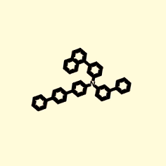 c1ccc(-c2ccc(-c3ccc(N(c4cccc(-c5ccccc5)c4)c4cccc(-c5cccc6ccccc56)c4)cc3)cc2)cc1